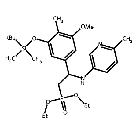 CCOP(=O)(CC(Nc1ccc(C)nc1)c1cc(OC)c(C)c(O[Si](C)(C)C(C)(C)C)c1)OCC